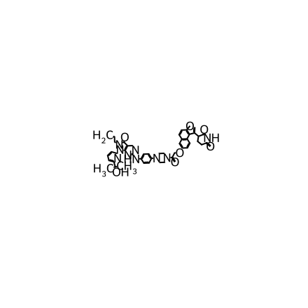 C=CCn1c(=O)c2cnc(Nc3ccc(N4CCN(C(=O)COc5ccc6c(ccc7occ(C8CCC(=O)NC8=O)c76)c5)CC4)cc3)nc2n1-c1cccc(C(C)(C)O)n1